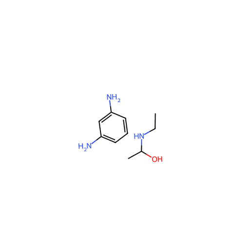 CCNC(C)O.Nc1cccc(N)c1